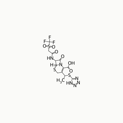 CC(Sc1nnn[nH]1)C1=C(C(=O)O)N2C(=O)C(NC(=O)CS(=O)(=O)C(F)(F)F)[C@@H]2SC1